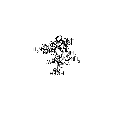 COC1[C@@H](COP(=O)(O)S)O[C@@H](n2cnc3c(N)ncnc32)[C@H]1OP(=O)(O)OC[C@H]1O[C@@H](n2cnc3c(N)ncnc32)[C@@H](OP(=O)(O)OC[C@]23CCCOC2[C@H](OP(=O)(O)S)[C@H](n2cnc4c(N)ncnc42)O3)C1O